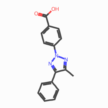 Cc1nn(-c2ccc(C(=O)O)cc2)nc1-c1ccccc1